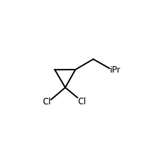 CC(C)CC1CC1(Cl)Cl